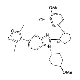 COc1ccc(N2CCC[C@H]2c2nc3cc(-c4c(C)noc4C)ccc3n2[C@H]2CC[C@H](OC)CC2)cc1Cl